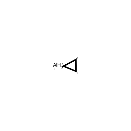 C1CC1.[AlH3]